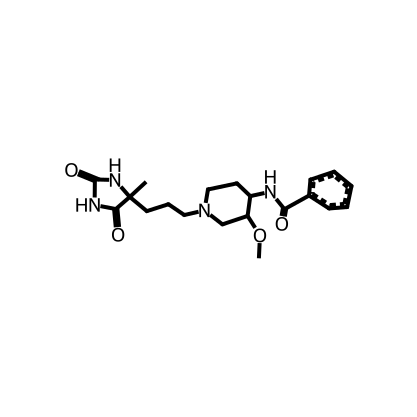 COC1CN(CCCC2(C)NC(=O)NC2=O)CCC1NC(=O)c1ccccc1